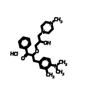 Cc1cc(CC(OCC(O)CN2CCN(C)CC2)C(=O)c2ccccc2)ccc1N(C)C.Cl